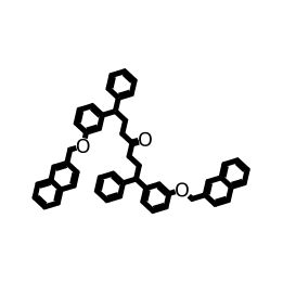 O=C(CCC(c1ccccc1)c1cccc(OCc2ccc3ccccc3c2)c1)CCC(c1ccccc1)c1cccc(OCc2ccc3ccccc3c2)c1